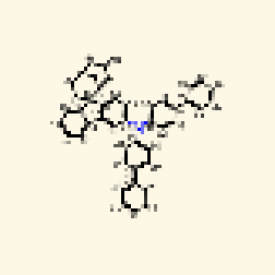 CC1C=C2CC(CCC23c2ccccc2-c2cc(N(c4ccc(-c5ccccc5)cc4)c4ccc(-c5ccccc5)cc4)ccc23)C1